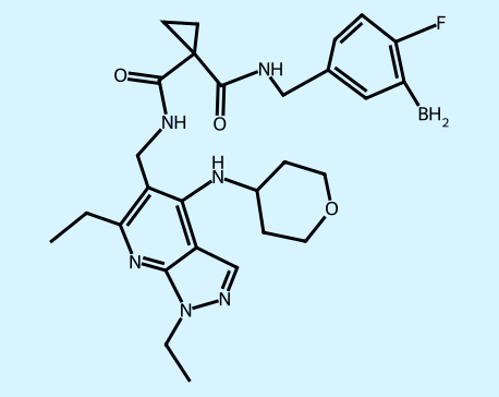 Bc1cc(CNC(=O)C2(C(=O)NCc3c(CC)nc4c(cnn4CC)c3NC3CCOCC3)CC2)ccc1F